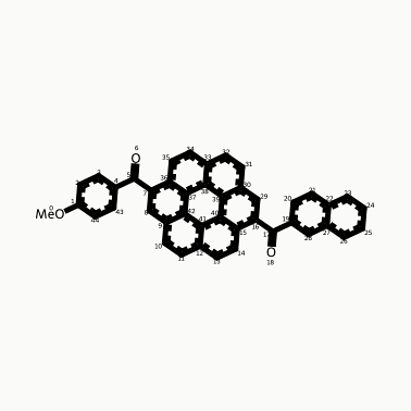 COc1ccc(C(=O)c2cc3ccc4ccc5c(C(=O)c6ccc7ccccc7c6)cc6ccc7ccc2c2c7c6c5c4c32)cc1